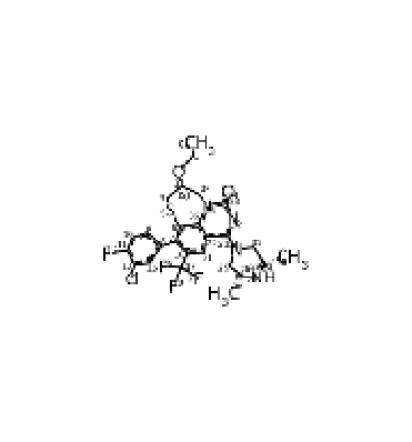 CCO[C@@H]1CSc2c(-c3ccc(F)c(Cl)c3)c(C(F)(F)F)cc3c(N4C[C@@H](C)N[C@@H](C)C4)nc(=O)n(c23)C1